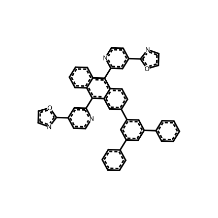 c1ccc(-c2cc(-c3ccccc3)cc(-c3ccc4c(-c5cc(-c6ncco6)ccn5)c5ccccc5c(-c5cc(-c6ncco6)ccn5)c4c3)c2)cc1